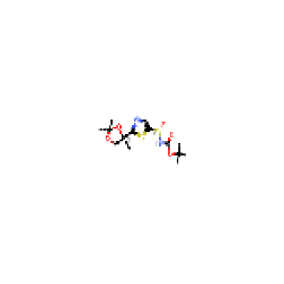 CC(C)(C)OC(=O)N[S@@+]([O-])c1cnc([C@]2(C)COC(C)(C)O2)s1